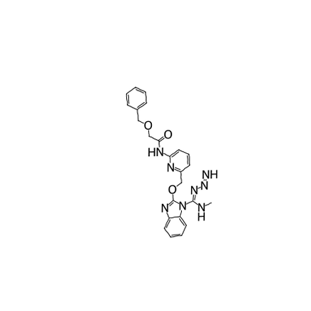 CN/C(=N\N=N)n1c(OCc2cccc(NC(=O)COCc3ccccc3)n2)nc2ccccc21